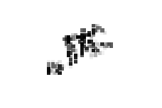 CCC1C[C@]1(NC(=O)C1C[C@@H](Oc2cc(-n3ccc(NC(C)C)n3)nc3cc(OCCN(C)C)ccc23)CN1C(=O)C(NC(=O)OC1CCC(C)C1)C(C)(C)C)C(=O)O